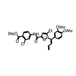 C=C/C=C(/c1ccc(OC)c(OC)c1)n1nc(C(=O)Nc2ccc(C(=O)OC)c(Cl)c2)cc1CC